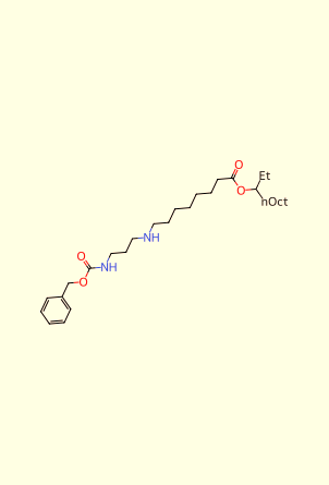 CCCCCCCCC(CC)OC(=O)CCCCCCCNCCCNC(=O)OCc1ccccc1